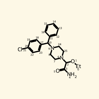 CCOC(C(N)=O)N1CCN(C(c2ccccc2)c2ccc(Cl)cc2)CC1